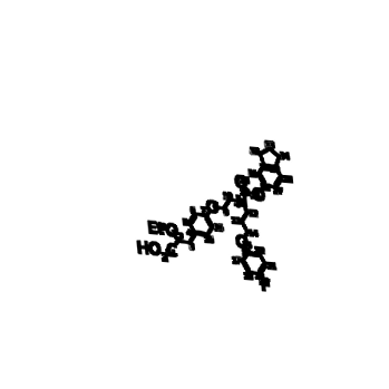 CCOC(Cc1ccc(OCCN(CCCOc2ccc(F)cc2)C(=O)Oc2ccc3c(c2)CCC3)cc1)C(=O)O